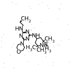 C=CCNc1nc(NC2CC(C)(C)NC(C)(C)C2)nc(N2CCOCC2)n1